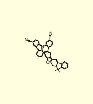 CC1(C)c2ccccc2C2=Cc3c(oc4ccc(-c5ccc(C#N)cc5-n5c6ccccc6c6cc(C#N)ccc65)cc34)CC21